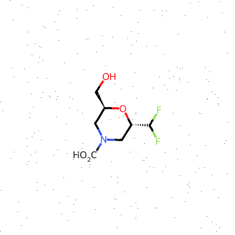 O=C(O)N1C[C@@H](CO)O[C@H](C(F)F)C1